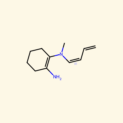 C=C/C=C\N(C)C1=C(N)CCCC1